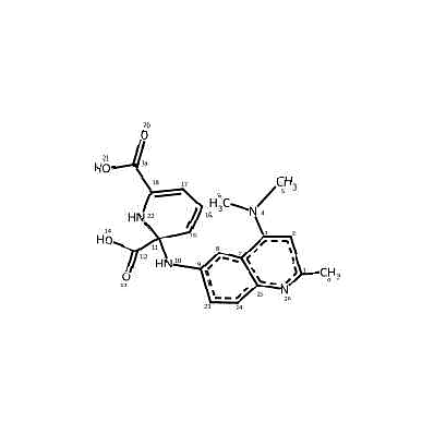 Cc1cc(N(C)C)c2cc(NC3(C(=O)O)C=CC=C(C(=O)O)N3)ccc2n1